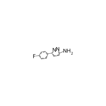 Nc1ccc(-c2ccc(F)cc2)nn1